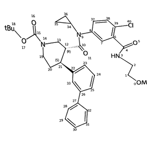 COCCNC(=O)c1cc(N(C(=O)[C@H]2CN(C(=O)OC(C)(C)C)CC[C@@H]2c2cccc(-c3ccccc3)c2)C2CC2)ccc1Cl